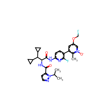 Cc1c(-c2ccc(NC(=O)[C@@H](NC(=O)c3ccnn3C(C)C)C(C3CC3)C3CC3)nc2F)cc(OCF)c[n+]1[O-]